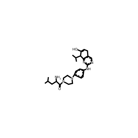 CC(C)CC(N)C(=O)N1CCN(c2ccc(Nc3ncc4c(n3)C(C(C)C)C(O)=CC4)cc2)CC1